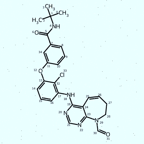 CC(C)(C)NC(=O)c1cccc(Oc2cccc(Nc3ncnc4c3C=CCCN4C=O)c2Cl)c1